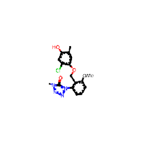 COc1cccc(-n2nnn(C)c2=O)c1COc1cc(C)c(O)cc1Cl